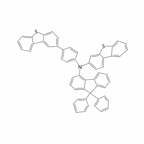 c1ccc(C2(c3ccccc3)c3ccccc3-c3c(N(c4ccc(-c5ccc6sc7ccccc7c6c5)cc4)c4ccc5c(c4)sc4ccccc45)cccc32)cc1